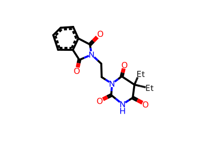 CCC1(CC)C(=O)NC(=O)N(CCN2C(=O)c3ccccc3C2=O)C1=O